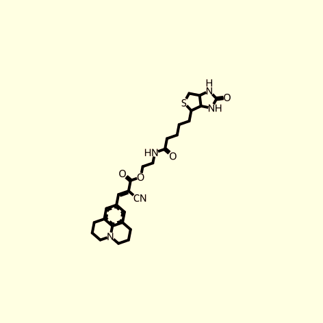 N#C/C(=C\c1cc2c3c(c1)CCCN3CCC2)C(=O)OCCNC(=O)CCCCC1SCC2NC(=O)NC21